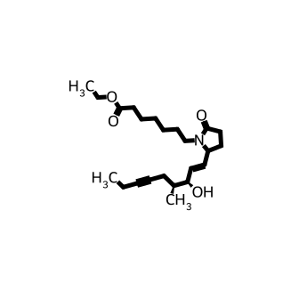 CCC#CC[C@H](C)[C@H](O)C=CC1CCC(=O)N1CCCCCCC(=O)OCC